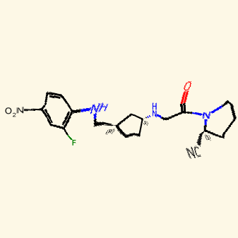 N#C[C@@H]1CCCN1C(=O)CN[C@@H]1CC[C@@H](CNc2ccc([N+](=O)[O-])cc2F)C1